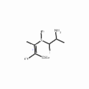 CO/C(=C(/C)N(C(C)C)C(I)C(C)N)C(C)C